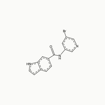 O=C(Nc1cncc(Br)c1)c1ccc2cc[nH]c2c1